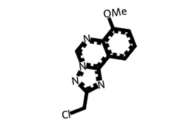 COc1cccc2c1ncn1nc(CCl)nc21